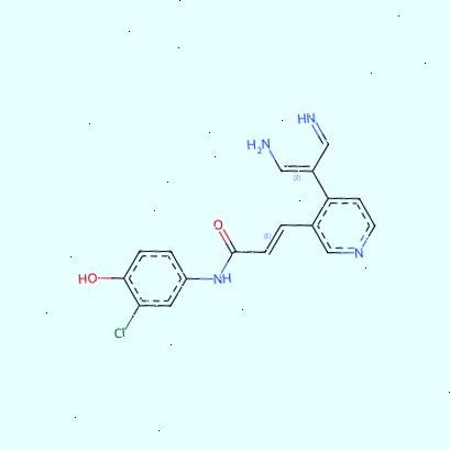 N=C/C(=C\N)c1ccncc1/C=C/C(=O)Nc1ccc(O)c(Cl)c1